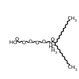 CCCCCCCCCCCCCCC(C(=O)NCCOCCOCCOCCOCCC(=O)O)C(C)CCCCCCCCCCCC